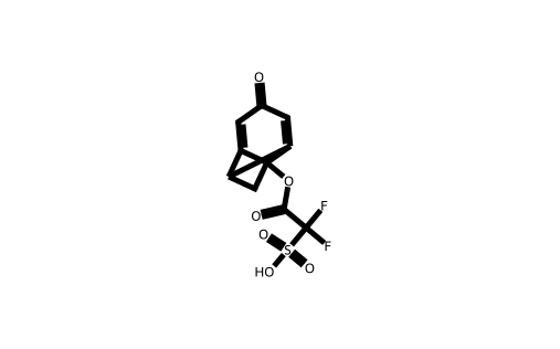 O=C1C=C2C3CC2(OC(=O)C(F)(F)S(=O)(=O)O)C3=C1